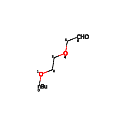 CCCCOCCOCC=O